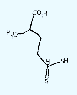 CC(CC[PH](=S)S)C(=O)O